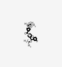 CC(C)O[C@@H]1CC2(CCN(C(=O)c3ccc(S(=O)(=O)C(C)(C)C)cc3)CC2)Oc2ccc(F)cc21